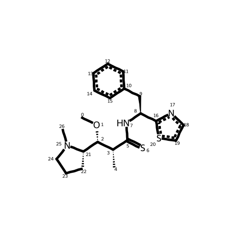 CO[C@H]([C@@H](C)C(=S)N[C@@H](Cc1ccccc1)c1nccs1)[C@@H]1CCCN1C